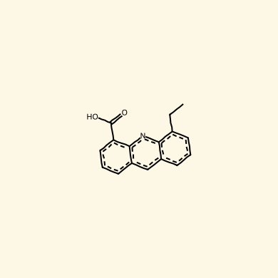 CCc1cccc2cc3cccc(C(=O)O)c3nc12